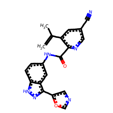 C=C(C)c1cc(C#N)cnc1C(=O)Nc1ccc2[nH]nc(-c3cnco3)c2c1